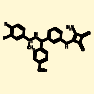 COc1ccc(C(N[C@H](C)c2ccc(F)c(F)c2)c2cccc(Nc3c(N)c(=O)c3=O)c2)cc1